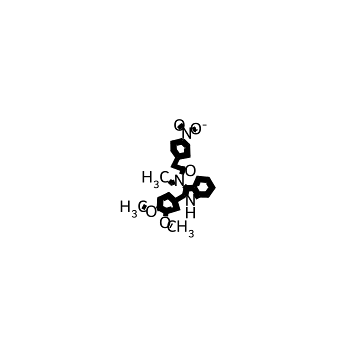 CCN(C(=O)Cc1ccc([N+](=O)[O-])cc1)c1c(-c2ccc(OC)c(OC)c2)[nH]c2ccccc12